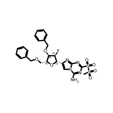 CS(=O)(=O)S(=O)(=O)c1nc(N)n2cc([C@@H]3O[C@H](COCc4ccccc4)[C@@H](OCc4ccccc4)[C@H]3F)nc2n1